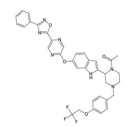 CC(=O)N1CCN(Cc2ccc(OCC(F)(F)F)cc2)CC1c1cc2ccc(Oc3cnc(-c4nc(-c5ccccc5)no4)cn3)cc2[nH]1